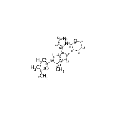 CC(C)O[C@@H](C)C1=Cc2c(-c3ccnn3C3CCCCO3)ccn2C1C